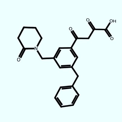 O=C(O)C(=O)CC(=O)c1cc(Cc2ccccc2)cc(CN2CCCCC2=O)c1